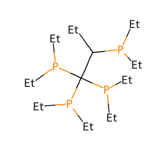 CCC(P(CC)CC)C(P(CC)CC)(P(CC)CC)P(CC)CC